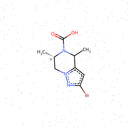 CC1c2cc(Br)nn2C[C@H](C)N1C(=O)O